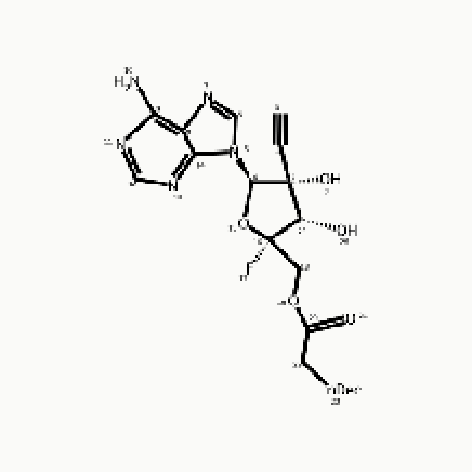 C#C[C@]1(O)[C@H](n2cnc3c(N)ncnc32)O[C@](F)(COC(=O)CCCCCCCCCCC)[C@H]1O